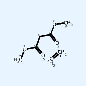 C=C.COC(=O)CC(=O)OC